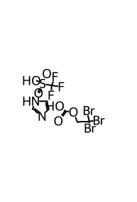 O=C(O)OCC(Br)(Br)Br.O=S(=O)(O)C(F)(F)F.c1c[nH]cn1